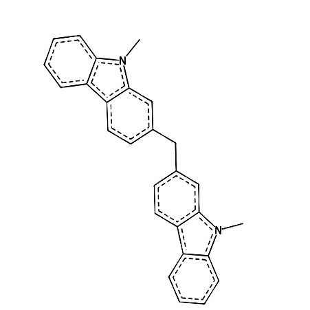 Cn1c2ccccc2c2ccc(Cc3ccc4c5ccccc5n(C)c4c3)cc21